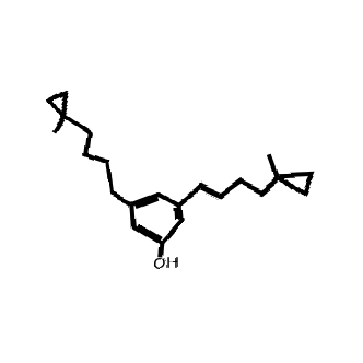 CC1(CCCCc2cc(O)cc(CCCCC3(C)CC3)c2)CC1